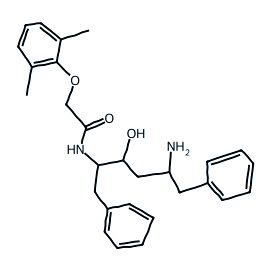 Cc1cccc(C)c1OCC(=O)NC(Cc1ccccc1)C(O)CC(N)Cc1ccccc1